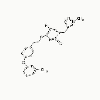 Cc1cccc(Oc2ccc(CCOc3nc(=O)n(Cc4cnn(C)c4)cc3F)cc2)n1